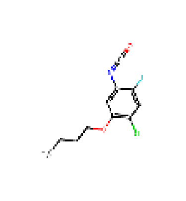 CCCCOc1cc(N=C=O)c(F)cc1Cl